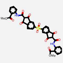 COC(=O)c1ccccc1NC(=O)C1C(=O)c2ccc(S(=O)(=O)c3ccc4c(c3)C(=O)C(C(=O)Nc3ccccc3C(=O)OC)C4=O)cc2C1=O